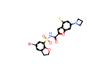 O=C(NS(=O)(=O)c1cc(Br)cc2c1OCC2)c1cc2c(F)cc(N3CCC3)cc2o1